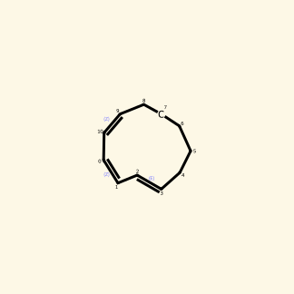 [C]1=C\C=C\CCCCC\C=C/1